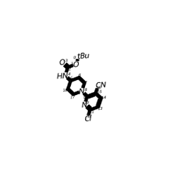 CC(C)(C)OC(=O)NC1CCN(c2nc(Cl)ccc2C#N)CC1